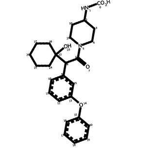 O=C(O)NC1CCN(C(=O)C(c2cccc(Oc3ccccc3)c2)C2(O)CCCCC2)CC1